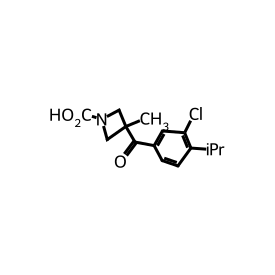 CC(C)c1ccc(C(=O)C2(C)CN(C(=O)O)C2)cc1Cl